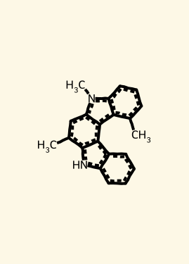 Cc1cc2c(c3c(C)cccc3n2C)c2c1[nH]c1ccccc12